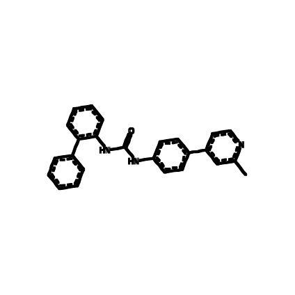 Cc1cc(-c2ccc(NC(=O)Nc3ccccc3-c3ccccc3)cc2)ccn1